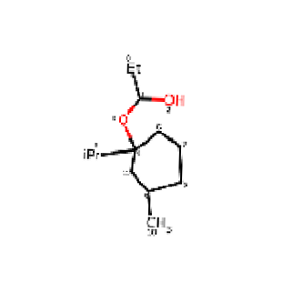 CCC(O)OC1(C(C)C)CCCC(C)C1